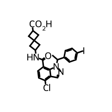 CC(c1ccc(I)cc1)n1ncc2c(Cl)ccc(C(=O)NC3CC4(C3)CC(C(=O)O)C4)c21